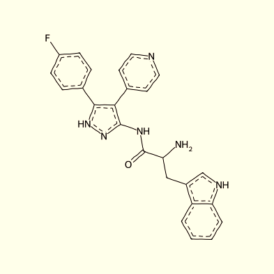 NC(Cc1c[nH]c2ccccc12)C(=O)Nc1n[nH]c(-c2ccc(F)cc2)c1-c1ccncc1